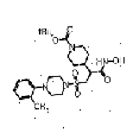 Cc1ccccc1N1CCN(S(=O)(=O)CC(C(=O)NO)C2CCN(C(=O)OC(C)(C)C)CC2)CC1